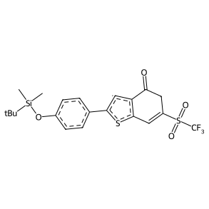 CC(C)(C)[Si](C)(C)Oc1ccc(-c2[c]c3c(s2)C=C(S(=O)(=O)C(F)(F)F)CC3=O)cc1